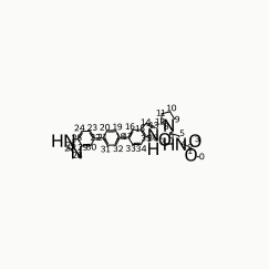 COC(=O)NCC(=O)N1CCC[C@H]1c1cc2cc(-c3ccc(-c4ccc5[nH]cnc5c4)cc3)ccc2[nH]1